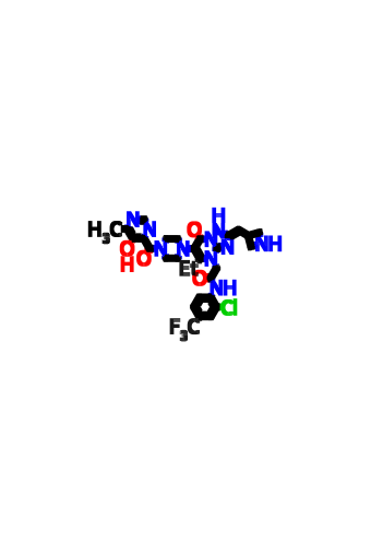 CCC1=C(N2CCN(C(=O)c3ncnc(C)c3O)CC2)C(=O)N2NC(=CC3CNC3)N=C2N1CC(=O)Nc1ccc(C(F)(F)F)cc1Cl